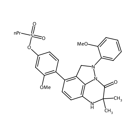 CCCS(=O)(=O)Oc1ccc(-c2ccc3c4c2CN(c2ccccc2OC)N4C(=O)C(C)(C)N3)c(OC)c1